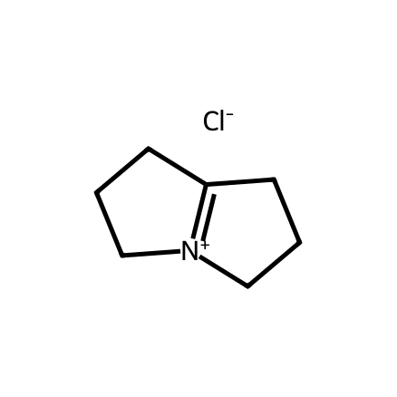 C1CC2=[N+](C1)CCC2.[Cl-]